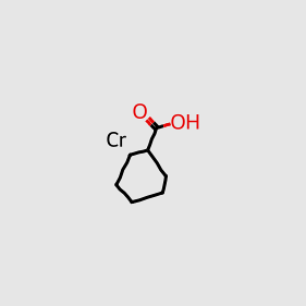 O=C(O)C1CCCCC1.[Cr]